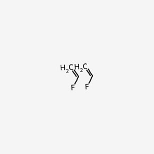 C=CF.C=CF